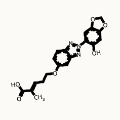 C/C(=C\CCOc1ccc2nn(-c3cc4c(cc3O)OCO4)nc2c1)C(=O)O